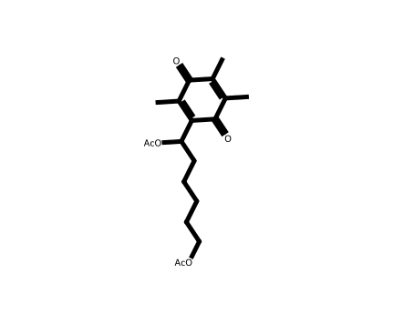 CC(=O)OCCCCCC(OC(C)=O)C1=C(C)C(=O)C(C)=C(C)C1=O